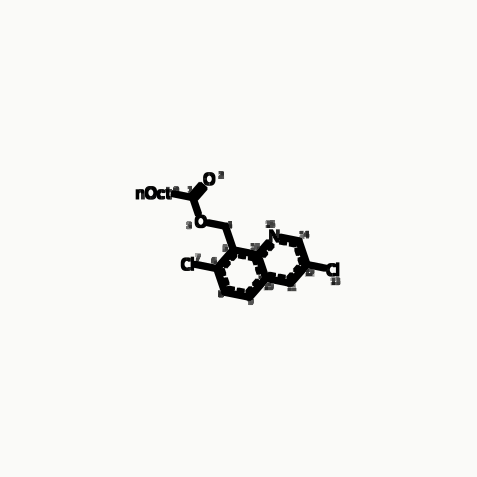 CCCCCCCCC(=O)OCc1c(Cl)ccc2cc(Cl)cnc12